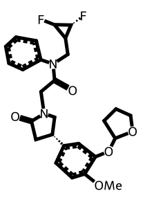 COc1ccc([C@@H]2CC(=O)N(CC(=O)N(CC3C(F)[C@@H]3F)c3ccccc3)C2)cc1OC1CCCO1